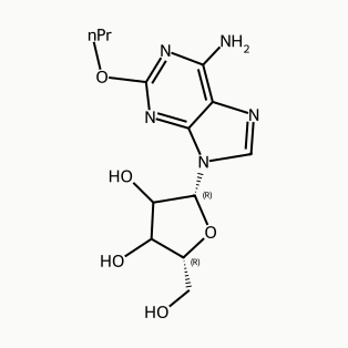 CCCOc1nc(N)c2ncn([C@@H]3O[C@H](CO)C(O)C3O)c2n1